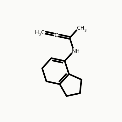 C=C=C(C)NC1=CCCC2=C1CCC2